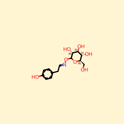 OC[C@H]1OC(ON=CCc2ccc(O)cc2)[C@H](O)[C@@H](O)[C@@H]1O